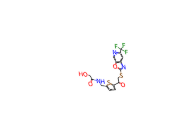 O=C(CO)NCc1ccc(C(=O)CSc2nc3cc(C(F)(F)F)ncc3o2)s1